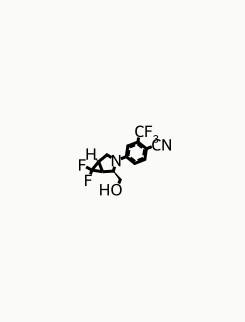 N#Cc1ccc(N2C[C@H]3C([C@@H]2CO)C3(F)F)cc1C(F)(F)F